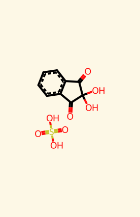 O=C1c2ccccc2C(=O)C1(O)O.O=S(=O)(O)O